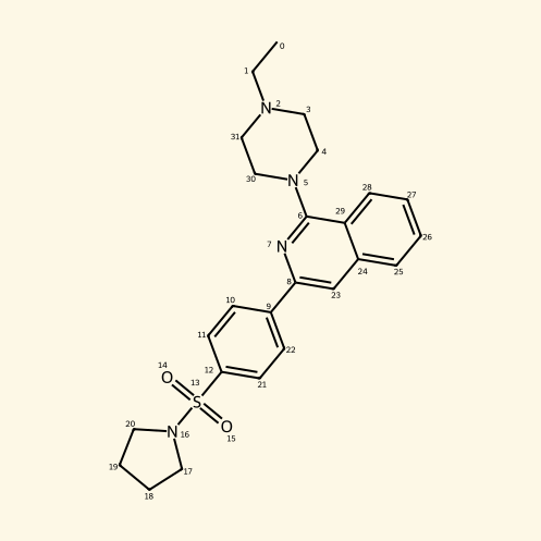 CCN1CCN(c2nc(-c3ccc(S(=O)(=O)N4CCCC4)cc3)cc3ccccc23)CC1